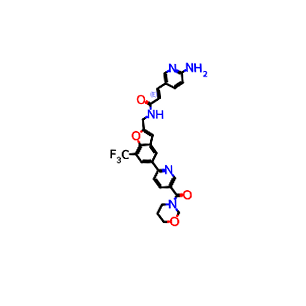 Nc1ccc(/C=C/C(=O)NCc2cc3cc(-c4ccc(C(=O)N5CCCOC5)cn4)cc(C(F)(F)F)c3o2)cn1